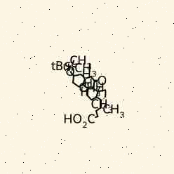 C[C@H](CCC(=O)O)[C@H]1CC[C@H]2[C@@H]3C(=O)C[C@@H]4CC(O[Si](C)(C)C(C)(C)C)CC[C@]4(C)[C@H]3CC[C@]12C